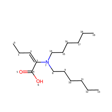 CC/C=C(\C(=O)O)N(CCCCCC)CCCCCC